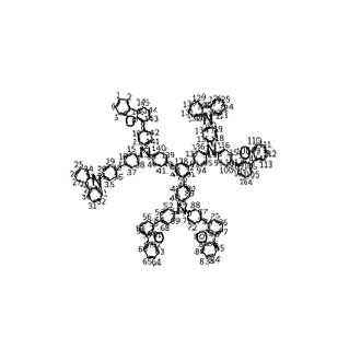 c1ccc2c(c1)oc1c(-c3ccc(N(c4ccc(-c5ccc(-n6c7ccccc7c7ccccc76)cc5)cc4)c4ccc(-c5cc(-c6ccc(N(c7ccc(-c8cccc9c8oc8ccccc89)cc7)c7ccc(-c8cccc9c8oc8ccccc89)cc7)cc6)cc(-c6ccc(N(c7ccc(-c8cccc9c8oc8ccccc89)cc7)c7ccc(-n8c9ccccc9c9ccccc98)cc7)cc6)c5)cc4)cc3)cccc12